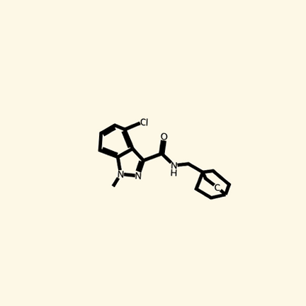 Cn1nc(C(=O)NCC23CCC(CC2)CC3)c2c(Cl)cccc21